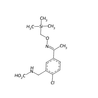 CC(=NOC[Si](C)(C)C)c1ccc(Cl)c(CNC(=O)O)c1